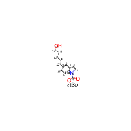 CC(C)(C)OC(=O)n1ccc2cc(CCCCCO)ccc21